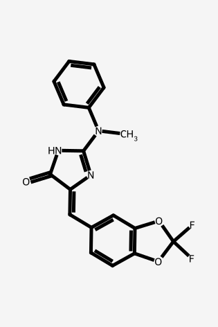 CN(C1=NC(=Cc2ccc3c(c2)OC(F)(F)O3)C(=O)N1)c1ccccc1